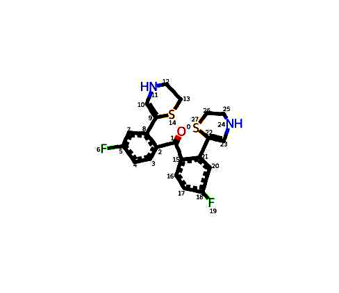 O=C(c1ccc(F)cc1C1=CNCCS1)c1ccc(F)cc1C1=CNCCS1